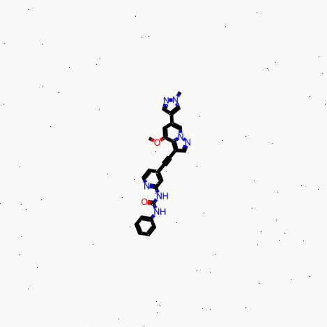 COc1cc(-c2cnn(C)c2)cn2ncc(C#Cc3ccnc(NC(=O)Nc4ccccc4)c3)c12